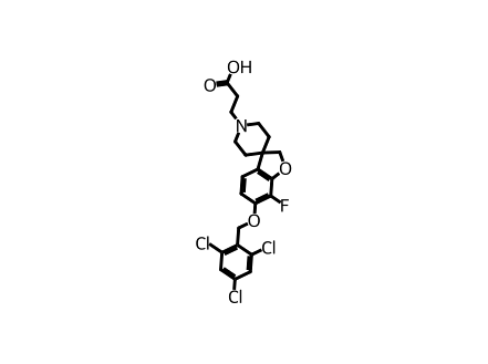 O=C(O)CCN1CCC2(CC1)COc1c2ccc(OCc2c(Cl)cc(Cl)cc2Cl)c1F